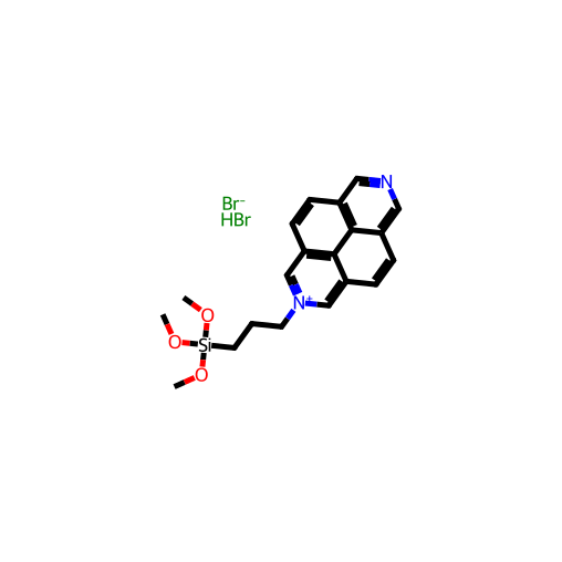 Br.CO[Si](CCC[n+]1cc2ccc3cncc4ccc(c1)c2c34)(OC)OC.[Br-]